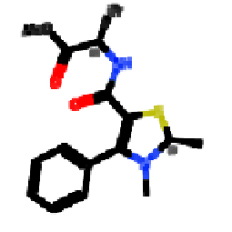 COC(=O)[C@H](NC(=O)C1=C(c2ccccc2)N(C)[C@H](C)S1)C(C)C